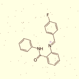 O=C(Nc1ccccc1)c1ccccc1/N=C/c1ccc(F)cc1